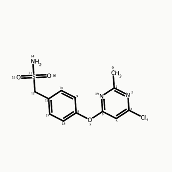 Cc1nc(Cl)cc(Oc2ccc(CS(N)(=O)=O)cc2)n1